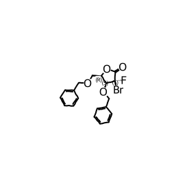 O=C1O[C@H](COCc2ccccc2)[C@H](OCc2ccccc2)[C@]1(F)Br